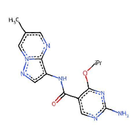 Cc1cnc2c(NC(=O)c3cnc(N)nc3OC(C)C)cnn2c1